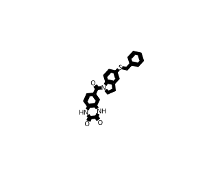 O=C(c1ccc2[nH]c(=O)c(=O)[nH]c2c1)N1CCc2cc(SCc3ccccc3)ccc21